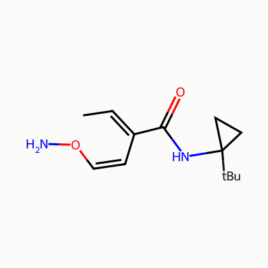 C/C=C(\C=C/ON)C(=O)NC1(C(C)(C)C)CC1